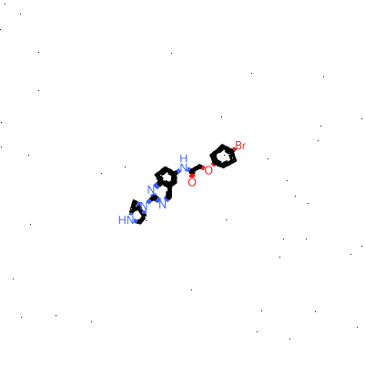 O=C(COc1ccc(Br)cc1)Nc1ccc2nc(N3CC4CC3CN4)ncc2c1